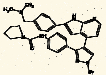 CC(C)n1cc(-c2ccnc3[nH]c(-c4ccc(CN(C)C)cc4)cc23)c(-c2ccc(NC(=O)N3CCCC3)cc2)n1